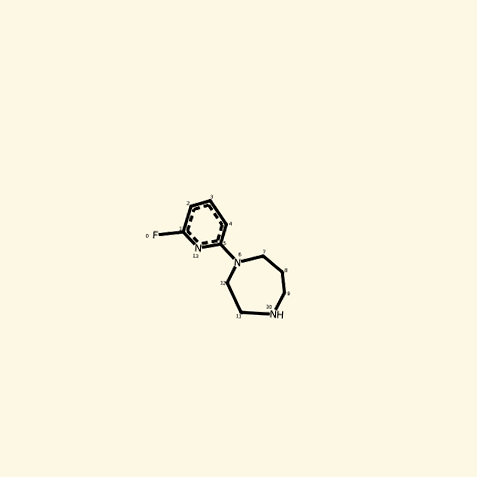 Fc1cccc(N2CCCNCC2)n1